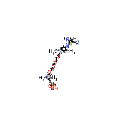 [C-]#[N+]c1c(/N=N/c2ccc(N(CC)CCOCCOCCOCCOCC[N+](C)(C)CCCCS(=O)(=O)O)cc2C)sc(C#N)c1C